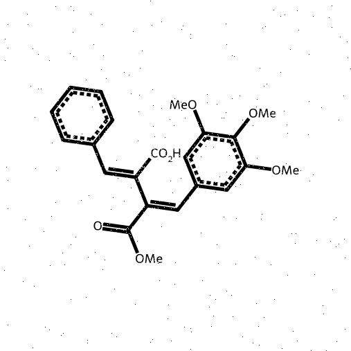 COC(=O)C(=C/c1cc(OC)c(OC)c(OC)c1)/C(=C/c1ccccc1)C(=O)O